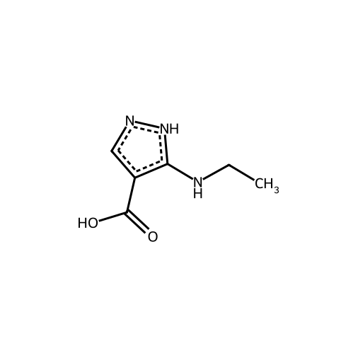 CCNc1[nH]ncc1C(=O)O